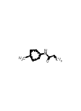 [CH2]c1ccc(NC(=O)C=C)cc1